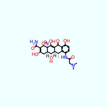 C[C@H]1c2c(NC(=O)CN(C)C)ccc(O)c2C(=O)C2=C(O)[C@]3(N=O)C(=O)C(C(N)=O)=C(O)C[C@@H]3[C@@H](O)[C@@H]21